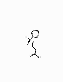 O=C(O)CCOP(=O)(O)c1ccccc1